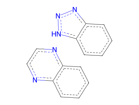 c1ccc2[nH]nnc2c1.c1ccc2nccnc2c1